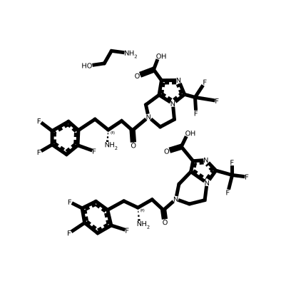 NCCO.N[C@@H](CC(=O)N1CCn2c(C(F)(F)F)nc(C(=O)O)c2C1)Cc1cc(F)c(F)cc1F.N[C@@H](CC(=O)N1CCn2c(C(F)(F)F)nc(C(=O)O)c2C1)Cc1cc(F)c(F)cc1F